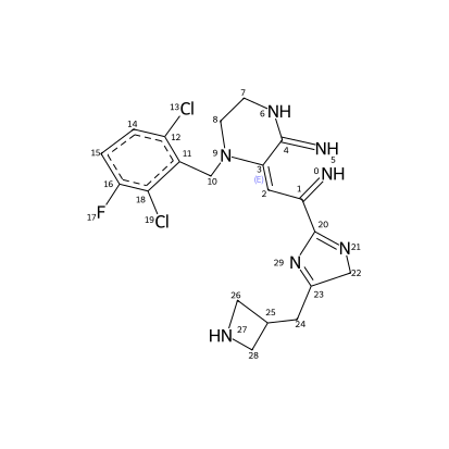 N=C(/C=C1\C(=N)NCCN1Cc1c(Cl)ccc(F)c1Cl)C1=NCC(CC2CNC2)=N1